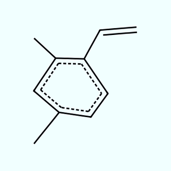 C=Cc1ccc(C)cc1C